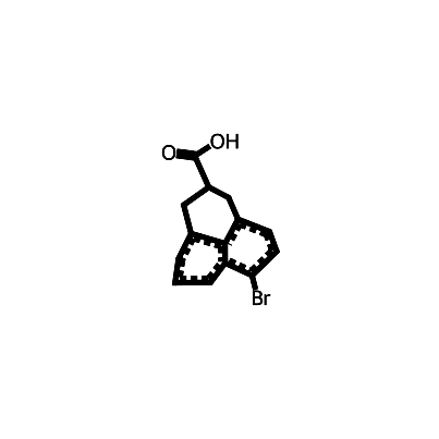 O=C(O)C1Cc2cccc3c(Br)ccc(c23)C1